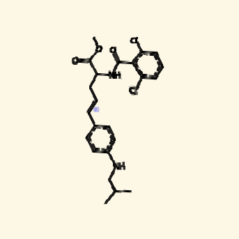 COC(=O)C(C/C=C/c1ccc(NCC(C)C)cc1)NC(=O)c1c(Cl)cccc1Cl